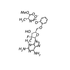 COC(=O)[C@H](C)N=[P+]([O-])Oc1ccccc1OC[C@H]1O[C@@H](n2cnc3c(N)nc(N)nc32)[C@](C)(F)[C@@H]1O